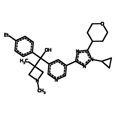 CCc1ccc(C(O)(c2cncc(-c3nc(C4CCOCC4)n(C4CC4)n3)c2)C2(C)CN(C)C2)cc1